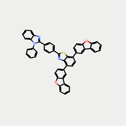 c1ccc(-n2c(-c3ccc(-c4nc5c(-c6ccc7oc8ccccc8c7c6)ccc(-c6ccc7oc8ccccc8c7c6)c5s4)cc3)nc3ccccc32)cc1